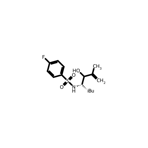 C=C(C)C(O)[C@@H](NS(=O)(=O)c1ccc(F)cc1)[C@@H](C)CC